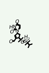 CC(C)C(C)(C)[SiH2]OC(C)(C)C1CC(n2ccc(=O)[nH]c2=O)C=C1C=O